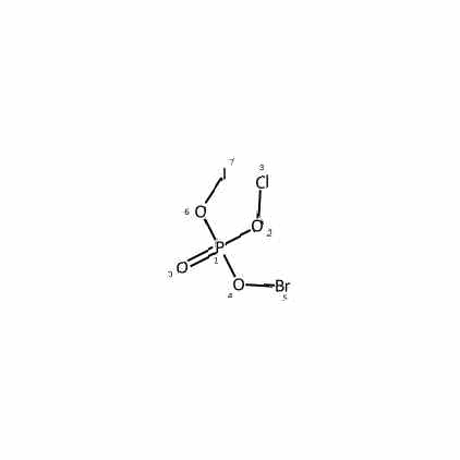 O=P(OCl)(OBr)OI